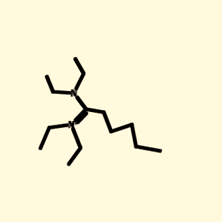 CCCCCC(N(CC)CC)=[N+](CC)CC